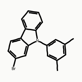 Cc1cc(C)cc(-n2c3ccccc3c3ccc(Br)cc32)c1